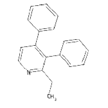 CCc1nccc(-c2ccccc2)c1-c1ccccc1